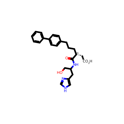 O=C(O)C[C@@H](CCCc1ccc(-c2ccccc2)cc1)C(=O)NC(CO)Cc1c[nH]cn1